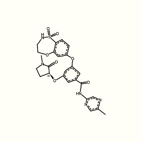 Cc1cnc(NC(=O)c2cc(Oc3ccc4c(c3)OCCNS4(=O)=O)cc(O[C@H]3CCN(C)C3=O)c2)cn1